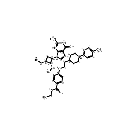 CCOC(=O)c1ccc(OCCC2CCN(c3ccc(C)nn3)CC2)cc1.Nc1nc2c(ncn2[C@@H]2C[C@H](CO)[C@H]2CO)c(=O)[nH]1